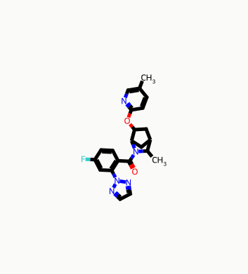 Cc1ccc(OC2CC3CC2N(C(=O)c2ccc(F)cc2-n2nccn2)C3C)nc1